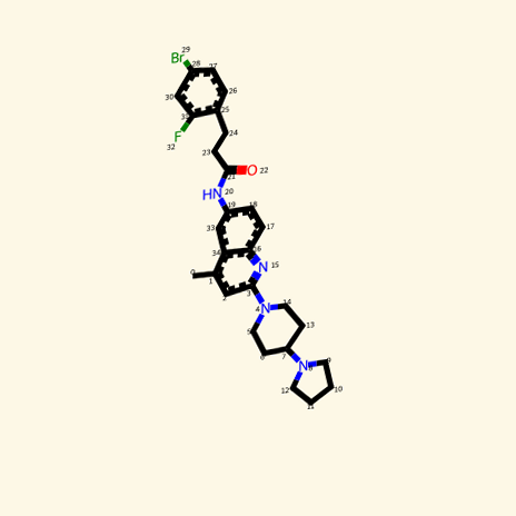 Cc1cc(N2CCC(N3CCCC3)CC2)nc2ccc(NC(=O)CCc3ccc(Br)cc3F)cc12